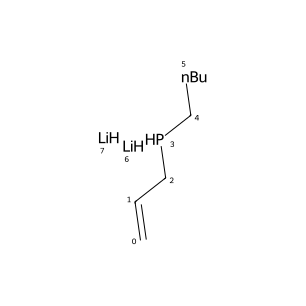 C=CCPCCCCC.[LiH].[LiH]